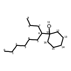 CCCCCCC(CCC)C1([O])CCCCC1